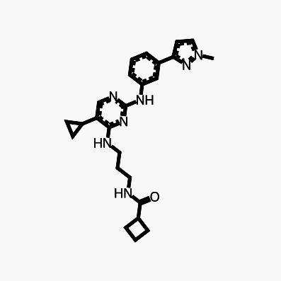 Cn1ccc(-c2cccc(Nc3ncc(C4CC4)c(NCCCNC(=O)C4CCC4)n3)c2)n1